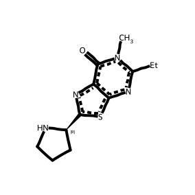 CCc1nc2sc([C@H]3CCCN3)nc2c(=O)n1C